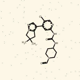 CC1(C)Cc2c(-c3cc(NC(=O)NC4CCN(C=O)CC4)ncc3Cl)cnn2C1